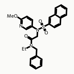 CCN(Cc1ccccc1)C(=O)CN(c1ccc(OC)nc1)S(=O)(=O)c1ccc2ccccc2c1